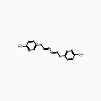 Oc1ccc(C/C=N/N=C/Cc2ccc(O)cc2)cc1